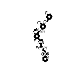 CCC(NCCS(=O)(=O)c1ccccn1)c1nc(-c2cc3c(Nc4ccc(OCc5cccc(F)c5)c(Cl)c4)ncnc3cc2F)cs1